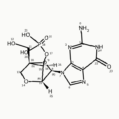 Nc1nc2c(ncn2[C@@H]2O[C@@]3(CO)CO[C@@H]2[C@@H]3OP(=O)(O)O)c(=O)[nH]1